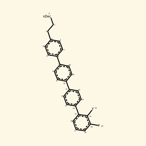 CCCCCCCCCCCCc1ccc(-c2ccc(-c3ccc(-c4cccc(F)c4F)cc3)cc2)cc1